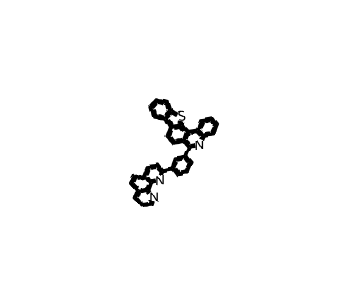 c1cc(-c2ccc3ccc4cccnc4c3n2)cc(-c2nc3ccccc3c3c2ccc2c4ccccc4sc23)c1